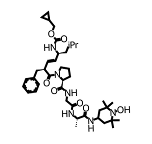 CC(C)C[C@@H](/C=C/[C@H](Cc1ccccc1)C(=O)N1CCC[C@H]1C(=O)NCC(=O)N[C@@H](C)C(=O)NC1CC(C)(C)N(O)C(C)(C)C1)NC(=O)OCC1CC1